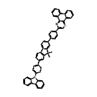 CC1(C)c2cc(C3=CC=C(n4c5ccccc5c5ccccc54)CC3)ccc2-c2ccc(-c3ccc(-c4cnc5c6ccccc6c6ccccc6c5n4)cc3)cc21